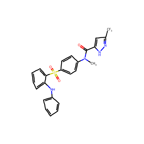 CN(C(=O)c1cc(C(F)(F)F)n[nH]1)c1ccc(S(=O)(=O)c2ccccc2Nc2ccccc2)cc1